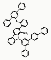 Nc1c(-c2ccccc2Cc2cc(-c3ccccc3)ccc2-c2ccccc2)ccc2c3ccccc3n(-c3nc(-c4ccccc4)nc(-c4ccc(-c5ccccc5)cc4)n3)c12